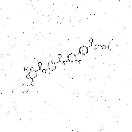 C=COC(=O)c1ccc(-c2ccc(SC(=O)c3ccc(OC(=O)C(=C)CC(=O)OC4CCCCC4)cc3)cc2F)cc1